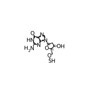 Nc1nc2c(ncn2[C@H]2C[C@H](O)[C@@H](COS)O2)c(=O)[nH]1